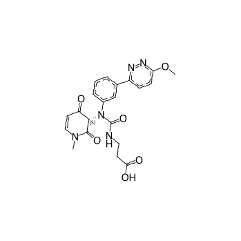 COc1ccc(-c2cccc(N(C(=O)NCCC(=O)O)[C@H]3C(=O)C=CN(C)C3=O)c2)nn1